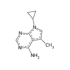 Cc1cn(C2CC2)c2ncnc(N)c12